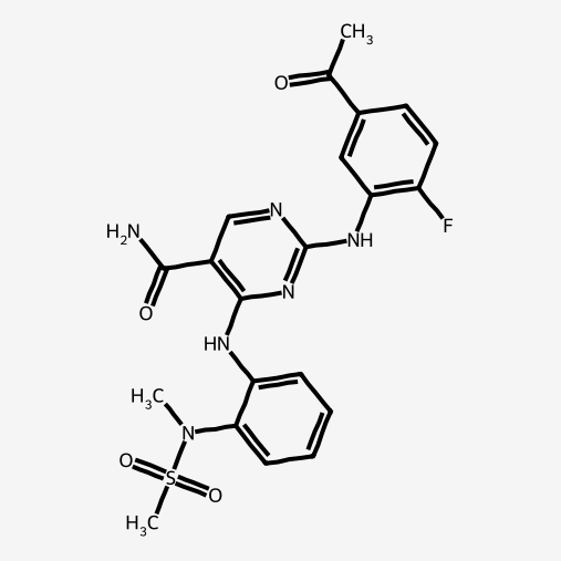 CC(=O)c1ccc(F)c(Nc2ncc(C(N)=O)c(Nc3ccccc3N(C)S(C)(=O)=O)n2)c1